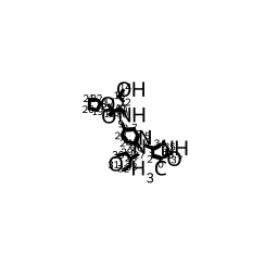 Cc1cc(-c2nc3cc(CN[C@@H](CCO)C(=O)OC4CCCC4)ccc3n2CC2CCOCC2)c[nH]c1=O